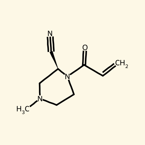 C=CC(=O)N1CCN(C)C[C@H]1C#N